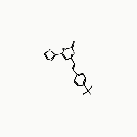 O=c1nc(/C=C/c2ccc(C(F)(F)F)cc2)cc(-c2ccco2)[nH]1